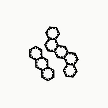 c1ccc2c(c1)ccc1cc3c(ccc4ccccc43)cc12.c1ccc2cc3ccccc3cc2c1